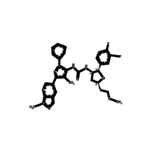 COCC[C@@H]1C[C@@H](NC(=O)Nc2c(C)c(-c3cnc4c(cnn4C)c3)nn2-c2ccccc2)[C@H](c2ccc(F)c(F)c2)O1